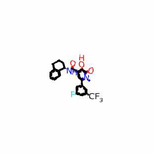 Cn1c(-c2cc(F)cc(C(F)(F)F)c2)cc(C(=O)N[C@H]2CCCc3ccccc32)c(O)c1=O